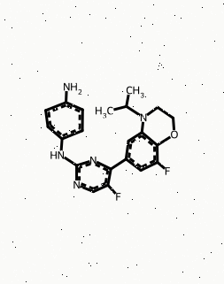 CC(C)N1CCOc2c(F)cc(-c3nc(Nc4ccc(N)cc4)ncc3F)cc21